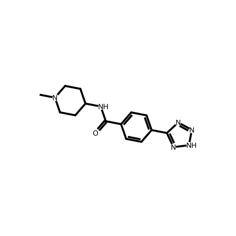 CN1CCC(NC(=O)c2ccc(-c3nn[nH]n3)cc2)CC1